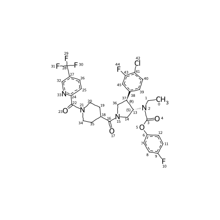 CCN(C(=O)Oc1ccc(F)cc1)[C@@H]1CN(C(=O)C2CCN(C(=O)c3ccc(C(F)(F)F)cn3)CC2)C[C@H]1c1ccc(Cl)c(F)c1